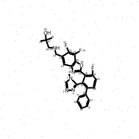 Cn1cnnc1-c1c(-c2ccccc2)ccc(F)c1-c1nc2cc(CNCC(C)(C)O)c(F)c(F)c2o1